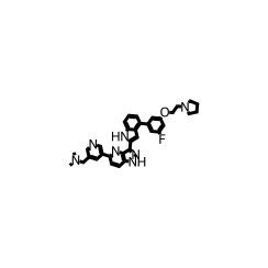 CN(C)Cc1cncc(-c2ccc3[nH]nc(-c4cc5c(-c6cc(F)cc(OCCN7CCCC7)c6)cccc5[nH]4)c3n2)c1